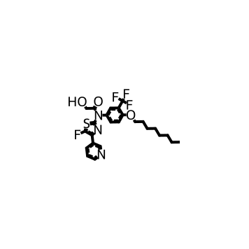 CCCCCCCCOc1ccc(N(C(=O)CO)c2nc(-c3cccnc3)c(F)s2)cc1C(F)(F)F